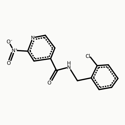 O=C(NCc1ccccc1Cl)c1ccnc([N+](=O)[O-])c1